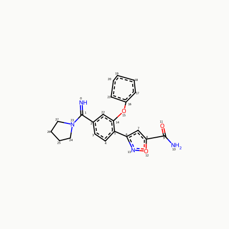 N=C(c1ccc(-c2cc(C(N)=O)on2)c(Oc2ccccc2)c1)N1CCCC1